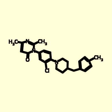 Cc1ccc(CC2CCN(c3ccc(-n4c(C)nc(C)cc4=O)cc3Cl)CC2)cc1